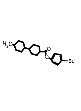 CCCCc1ccc(OC(=O)C2CCC(C3CCC(C)CC3)CC2)cc1